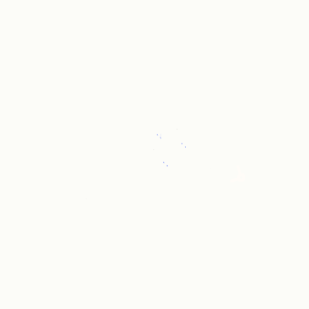 C1=CC2C=CC(c3nc(-c4ccc5ccc6c7ccccc7ccc6c5c4)nc(-c4cccc5oc6ccccc6c45)n3)=CC2C=C1